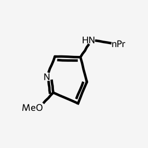 CCCNc1ccc(OC)nc1